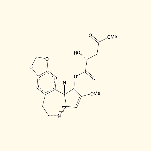 COC(=O)C[C@@H](O)C(=O)O[C@@H]1C(OC)=C[C@]23CCCN2CCc2cc4c(cc2[C@H]13)OCO4